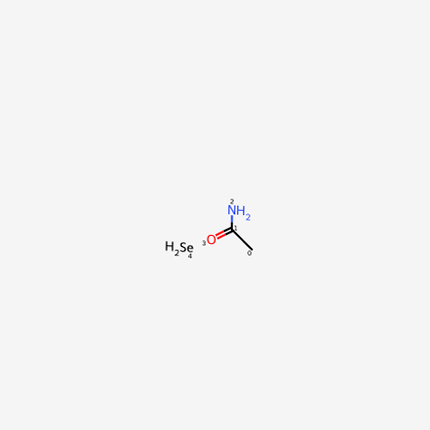 CC(N)=O.[SeH2]